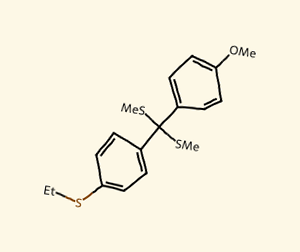 CCSc1ccc(C(SC)(SC)c2ccc(OC)cc2)cc1